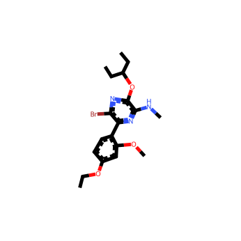 CCOc1ccc(-c2nc(NC)c(OC(CC)CC)nc2Br)c(OC)c1